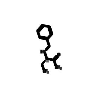 NC(=O)[C@H](CC(F)(F)F)NCc1ccccc1